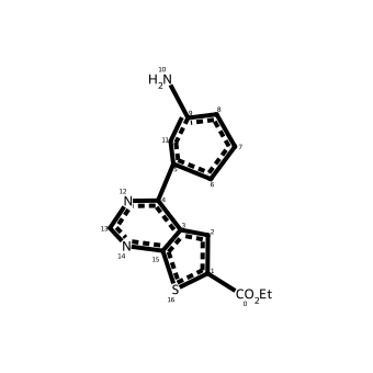 CCOC(=O)c1cc2c(-c3cccc(N)c3)ncnc2s1